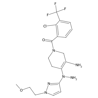 COCCn1ccc(N(N)C2=C(N)CN(C(=O)c3cccc(C(F)(F)F)c3Cl)CC2)n1